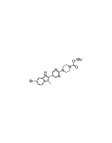 Cc1c(-c2cnc(N3CCN(C(=O)OC(C)(C)C)CC3)nc2)[nH]c2cc(Br)ccc12